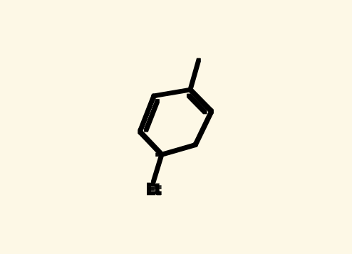 CC[C]1C=CC(C)=CC1